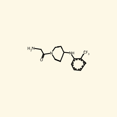 NCC(=O)N1CCC(Nc2ccccc2C(F)(F)F)CC1